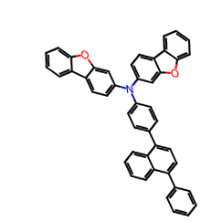 c1ccc(-c2ccc(-c3ccc(N(c4ccc5c(c4)oc4ccccc45)c4ccc5c(c4)oc4ccccc45)cc3)c3ccccc23)cc1